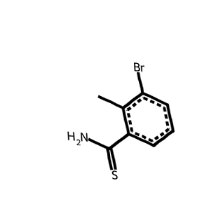 Cc1c(Br)cccc1C(N)=S